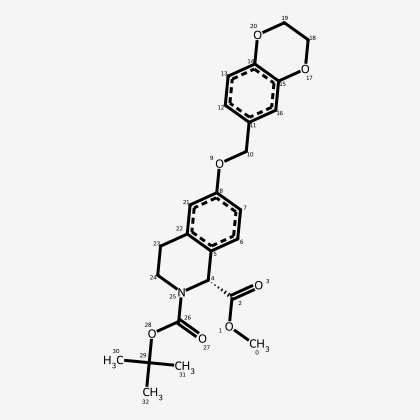 COC(=O)[C@H]1c2ccc(OCc3ccc4c(c3)OCCO4)cc2CCN1C(=O)OC(C)(C)C